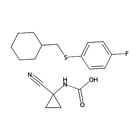 Fc1ccc(SCC2CCCCC2)cc1.N#CC1(NC(=O)O)CC1